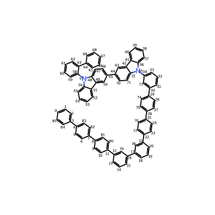 c1ccc(-c2ccc(-c3ccc(-c4cccc(-c5cccc(-c6ccc(-c7ccc(-c8cccc(-n9c%10ccccc%10c%10cc(-c%11ccc%12c(c%11)c%11ccccc%11n%12-c%11ccccc%11-c%11ccccc%11)ccc%109)c8)cc7)cc6)c5)c4)cc3)cc2)cc1